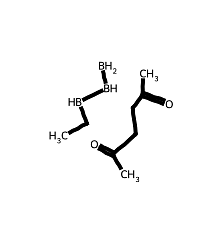 BBBCC.CC(=O)CCC(C)=O